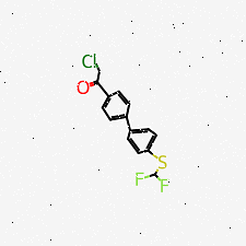 O=C(CCl)c1ccc(-c2ccc(SC(F)F)cc2)cc1